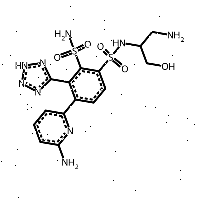 NCC(CO)NS(=O)(=O)c1ccc(-c2cccc(N)n2)c(-c2nn[nH]n2)c1S(N)(=O)=O